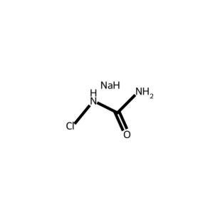 NC(=O)NCl.[NaH]